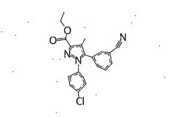 CCOC(=O)c1nn(-c2ccc(Cl)cc2)c(-c2cccc(C#N)c2)c1C